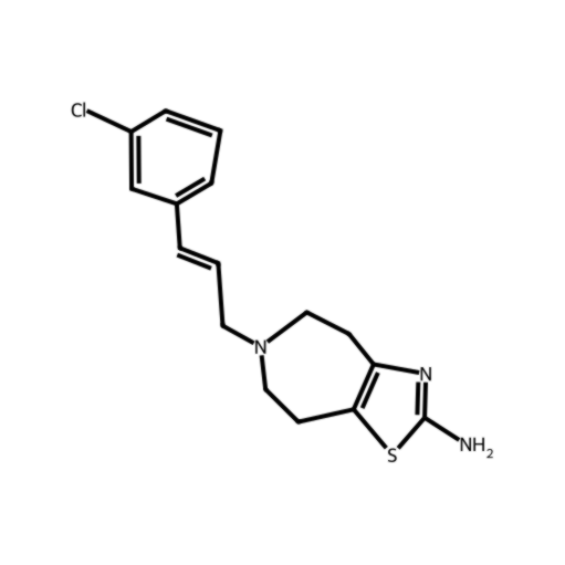 Nc1nc2c(s1)CCN(CC=Cc1cccc(Cl)c1)CC2